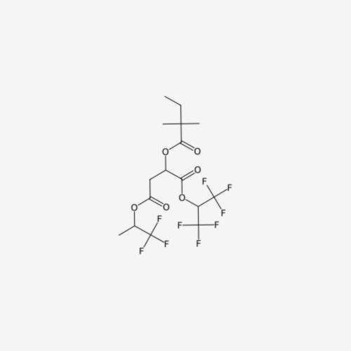 CCC(C)(C)C(=O)OC(CC(=O)OC(C)C(F)(F)F)C(=O)OC(C(F)(F)F)C(F)(F)F